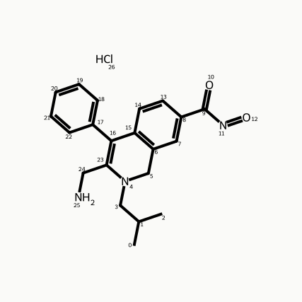 CC(C)CN1Cc2cc(C(=O)N=O)ccc2C(c2ccccc2)=C1CN.Cl